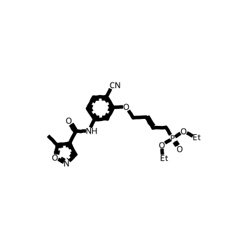 CCOP(=O)(C/C=C/COc1cc(NC(=O)c2cnoc2C)ccc1C#N)OCC